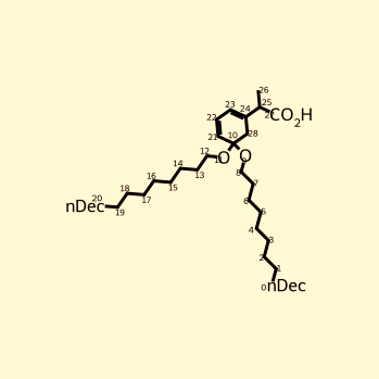 CCCCCCCCCCCCCCCCCCOC1(OCCCCCCCCCCCCCCCCCC)C=CC=C(C(C)C(=O)O)C1